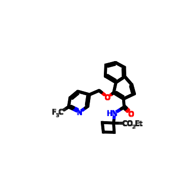 CCOC(=O)C1(NC(=O)c2ccc3ccccc3c2OCc2ccc(C(F)(F)F)nc2)CCC1